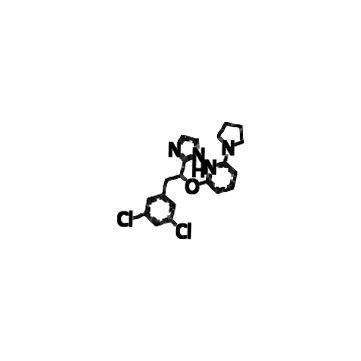 Clc1cc(Cl)cc(CC(Oc2cccc(N3CCCC3)n2)c2ncc[nH]2)c1